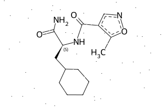 Cc1oncc1C(=O)N[C@@H](CC1CCCCC1)C(N)=O